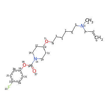 C=CCN(C)CCCCCCOC1CCN(C(=O)Oc2ccc(F)cc2)CC1